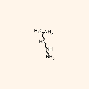 CC(N)CCNCCNCCN